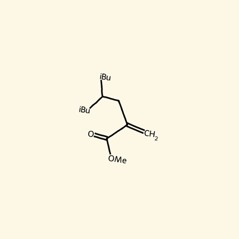 C=C(CC(C(C)CC)C(C)CC)C(=O)OC